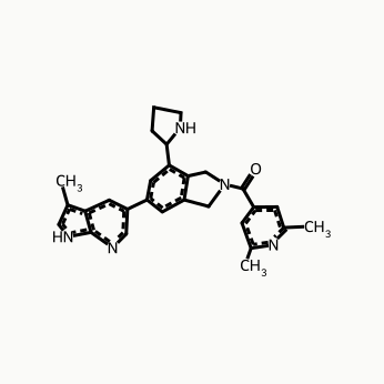 Cc1cc(C(=O)N2Cc3cc(-c4cnc5[nH]cc(C)c5c4)cc(C4CCCN4)c3C2)cc(C)n1